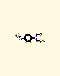 C=Nc1ccc(N(CC)CC)cc1